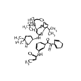 C=CC(=O)Nc1cccc(C(=O)Nc2ccccc2)c1.CC(C)c1cnn2c(N(C(=O)O)C(C)(C)C)cc(NC3CCC(C)(C)NC3)nc12